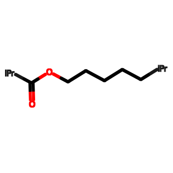 CC(C)CCCCCOC(=O)C(C)C